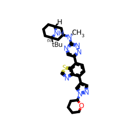 CN(c1ncc(-c2ccc(-c3cnn(C4CCCCO4)c3)c3ncsc23)nn1)C1C[C@H]2CCC[C@@](C(C)(C)C)(C1)N2